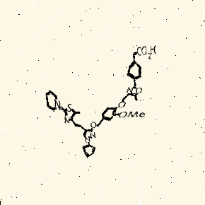 COc1cc(COc2nn(-c3ccccc3)cc2C=Cc2nc(N3CCCCC3)sc2C)ccc1OCc1nc(-c2ccc(CC(=O)O)cc2)oc1C